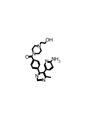 Cc1ncnc(-c2ccc(C(=O)N3CCN(CCO)CC3)cc2)c1-c1ccc(N)nc1